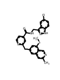 CSc1cc(Cc2cc(C(=O)NCc3n[nH]c4ccc(Cl)cc34)ccn2)cc2cc(C)ncc12